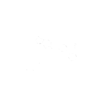 CCCCc1c(Cc2ccc(-c3ccccc3C#N)cc2)c(=O)n([C@H]2CC[C@H](OCC(=O)O)CC2)c2ccnn12